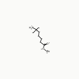 CC(C)(N)CCCCC(=O)OC(C)(C)C